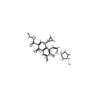 CCOC(=O)c1cn(C2CC2)c2c(/C=C\C[C@@H]3CC[C@H](C)C3)c(F)c(F)cc2c1=O